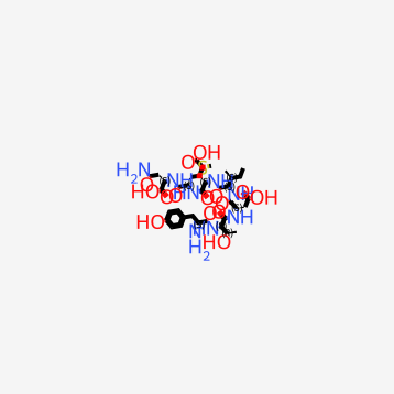 CC[C@H](C)[C@H](NC(=O)[C@H](CC(=O)O)NC(=O)[C@@H](NC(=O)[C@@H](N)Cc1ccc(O)cc1)[C@@H](C)O)C(=O)N[C@@H](CCC(=O)O)C(=O)N[C@@H](CCSC)C(=O)N[C@@H](CC(N)=O)C(=O)O